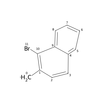 [CH2]c1ccc2ccccc2c1Br